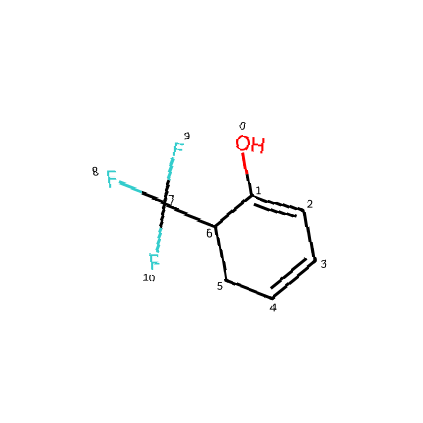 OC1=CC=CCC1C(F)(F)F